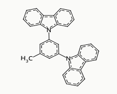 Cc1cc(-n2c3ccccc3c3ccccc32)cc(-n2c3ccccc3c3ccccc32)c1